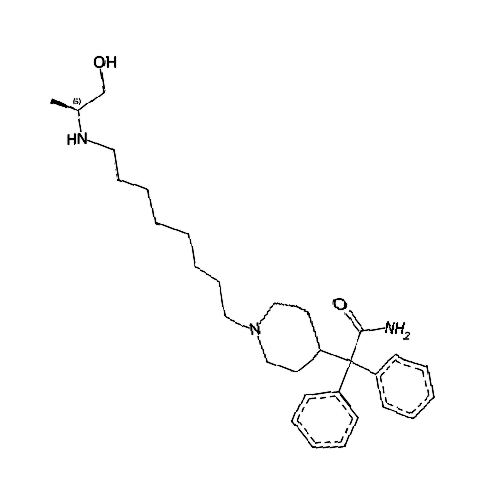 C[C@@H](CO)NCCCCCCCCN1CCC(C(C(N)=O)(c2ccccc2)c2ccccc2)CC1